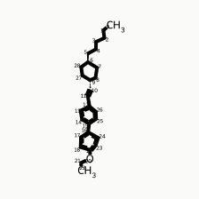 CCCCCC[C@H]1CC[C@H](C#Cc2ccc(-c3ccc(OCC)cc3)cc2)CC1